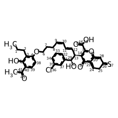 CCCc1c(OCCC/C=C\C=C\[C@@H](c2c(C(=O)O)oc3c(c2=O)=CCC(=S)C=3)[C@@H](O)c2cccc(Cl)c2)ccc(C(C)=O)c1O